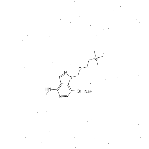 CNc1ncc(Br)c2c1cnn2COCC[Si](C)(C)C.[NaH]